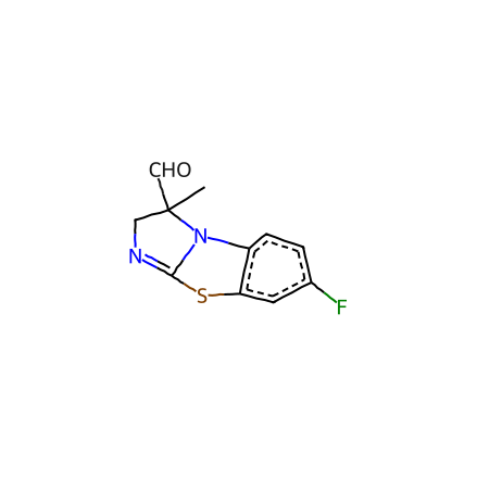 CC1(C=O)CN=C2Sc3cc(F)ccc3N21